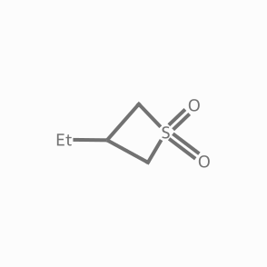 CCC1CS(=O)(=O)C1